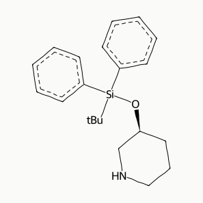 CC(C)(C)[Si](O[C@H]1CCCNC1)(c1ccccc1)c1ccccc1